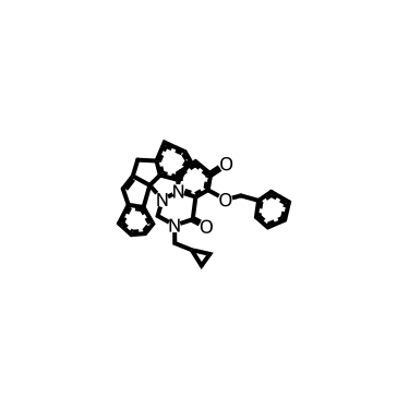 O=C1c2c(OCc3ccccc3)c(=O)ccn2N(C23C(=Cc4ccccc42)Cc2ccccc23)CN1CC1CC1